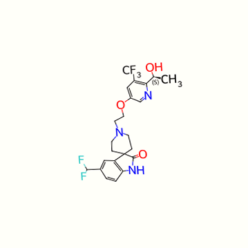 C[C@H](O)c1ncc(OCCN2CCC3(CC2)C(=O)Nc2ccc(C(F)F)cc23)cc1C(F)(F)F